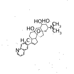 CN(C)[C@H]1C[C@@]23CC[C@]4(O2)C2CC=C(c5ccc6ncccc6c5)[C@@]2(C)CCC4(O)CC3[C@@H](O)[C@@H]1O